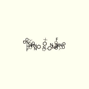 COC(=O)N[C@H](C(=O)N1C[C@@H](F)C[C@H]1c1nc2cc([C@H]3CC[C@H](c4ccc5[nH]c([C@@H]6C[C@H](F)CN6C(=O)[C@@H](NC(=O)OC)C(C)C)nc5c4)N3c3ccc(C(C)(C)C)cc3)ccc2[nH]1)C(C)C